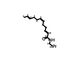 C/C=C/CC/C=C\CC/C=C/C(=O)NCC(C)C